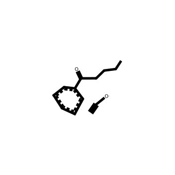 C#C[O].CCCCC(=O)c1ccccc1